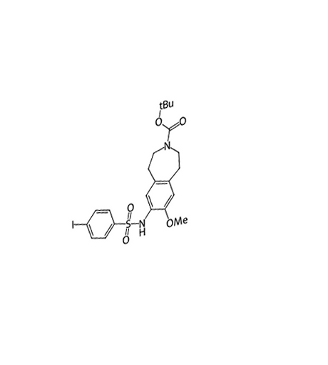 COc1cc2c(cc1NS(=O)(=O)c1ccc(I)cc1)CCN(C(=O)OC(C)(C)C)CC2